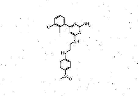 Cc1c(Cl)cccc1-c1cc(NCCNc2ccc([S+](C)[O-])cc2)nc(N)n1